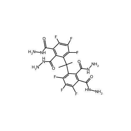 CC(C)(c1c(F)c(F)c(F)c(C(=O)NN)c1C(=O)NN)c1c(F)c(F)c(F)c(C(=O)NN)c1C(=O)NN